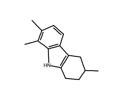 Cc1ccc2c3c([nH]c2c1C)CCC(C)C3